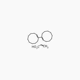 C1=C(C2=CCCCCCCCC2)CCCCCCCC1.C=CC(=O)O